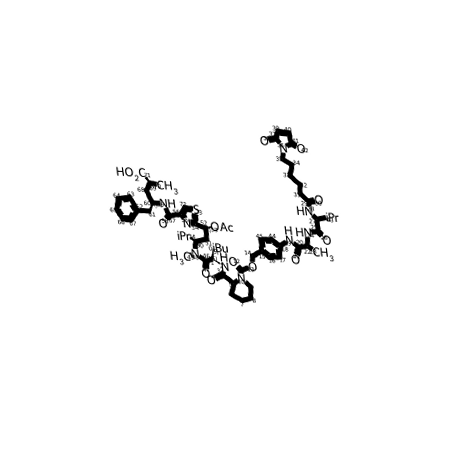 CC[C@H](C)[C@H](NC(=O)C1CCCCN1C(=O)OCc1ccc(NC(=O)C(C)NC(=O)C(NC(=O)CCCCCN2C(=O)C=CC2=O)C(C)C)cc1)C(=O)N(C)[C@H](C[C@@H](OC(C)=O)c1nc(C(=O)N[C@@H](Cc2ccccc2)C[C@H](C)C(=O)O)cs1)C(C)C